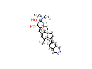 CC1C=C2C=C3[C@@H](O)[C@H](O)[C@@H](N(C)C)C[C@]34CC[C@]2(O4)C2CC=C(c3ccc4ccncc4c3)[C@@]12C